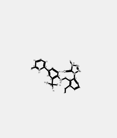 CCc1cccc(-n2nnn(C)c2=O)c1COc1ccc(-c2cccc(C)n2)cc1C(F)(F)F